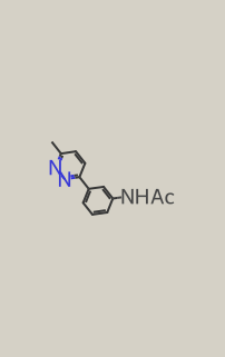 CC(=O)Nc1cccc(-c2ccc(C)nn2)c1